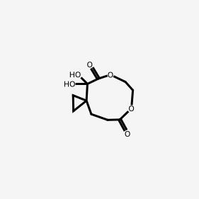 O=C1CCC2(CC2)C(O)(O)C(=O)OCCO1